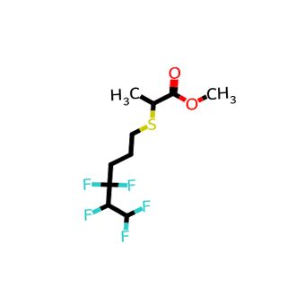 COC(=O)C(C)SCCCC(F)(F)C(F)C(F)F